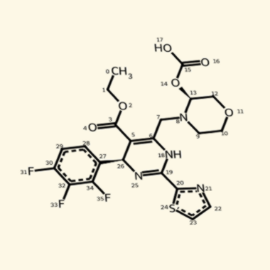 CCOC(=O)C1=C(CN2CCOC[C@@H]2OC(=O)O)NC(c2nccs2)=N[C@H]1c1ccc(F)c(F)c1F